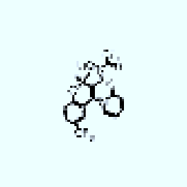 CC1(C)Oc2ccc(C(F)(F)F)cc2C(n2ccccc2=O)=C1CN(O)C(=O)C(F)(F)F